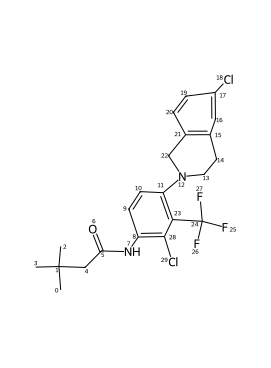 CC(C)(C)CC(=O)Nc1ccc(N2CCc3cc(Cl)ccc3C2)c(C(F)(F)F)c1Cl